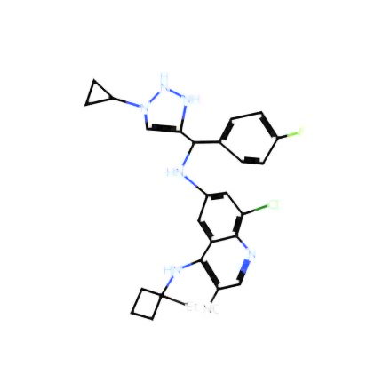 CCC1(Nc2c(C#N)cnc3c(Cl)cc(NC(C4=CN(C5CC5)NN4)c4ccc(F)cc4)cc23)CCC1